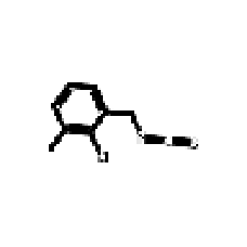 Cc1cccc(CN=C=S)c1Cl